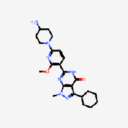 COc1nc(N2CCC(N)CC2)ccc1-c1nc2c(c(C3CCCCC3)nn2C)c(=O)[nH]1